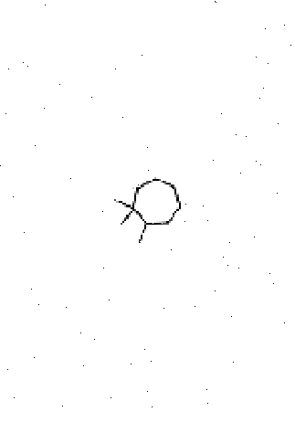 CC1CCCC[CH]C1(C)C